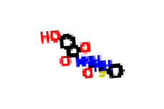 O=C(N/N=c1\c(=O)c2ccc(O)cc2c1=O)NSc1ccccc1